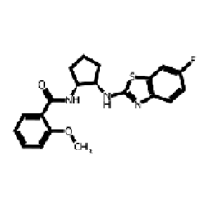 COc1ccccc1C(=O)N[C@H]1CCC[C@H]1Nc1nc2ccc(F)cc2s1